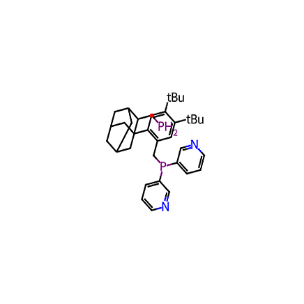 CC(C)(C)c1cc(CP(c2cccnc2)c2cccnc2)c(C23CC4CC(CC(C4)C2CP)C3)cc1C(C)(C)C